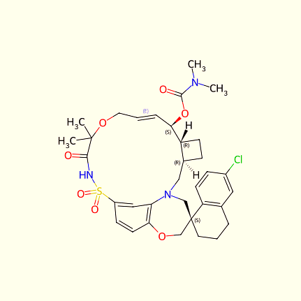 CN(C)C(=O)O[C@@H]1/C=C/COC(C)(C)C(=O)NS(=O)(=O)c2ccc3c(c2)N(C[C@@H]2CC[C@H]21)C[C@@]1(CCCc2cc(Cl)ccc21)CO3